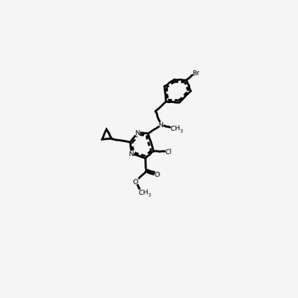 COC(=O)c1nc(C2CC2)nc(N(C)Cc2ccc(Br)cc2)c1Cl